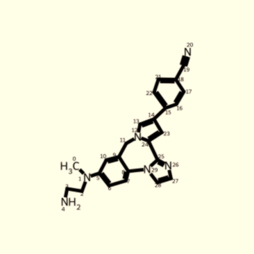 CN(CCN)c1ccc2c(c1)Cn1cc(-c3ccc(C#N)cc3)cc1-c1nccn1-2